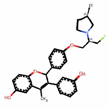 CC[C@@H]1CCN([C@@H](CF)COc2ccc(C3Oc4ccc(O)cc4C(C)=C3c3cccc(O)c3)cc2)C1